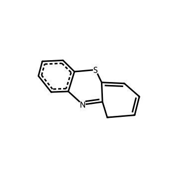 C1=CCC2=Nc3ccccc3SC2=C1